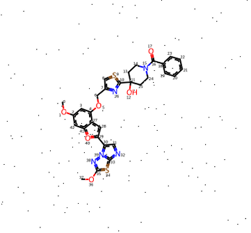 COc1cc(OCc2csc(C3(O)CCN(C(=O)c4ccccc4)CC3)n2)c2cc(-c3cnc4sc(OC)nn34)oc2c1